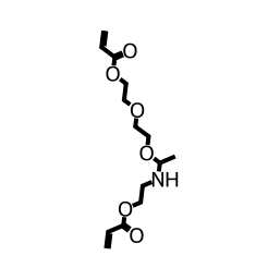 C=CC(=O)OCCNC(C)OCCOCCOC(=O)C=C